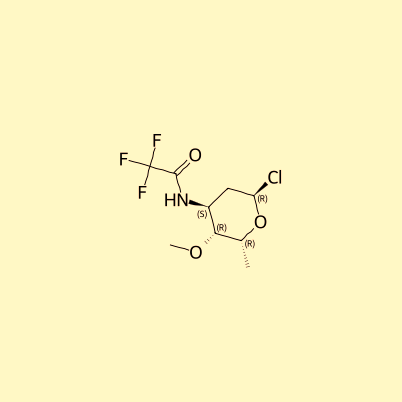 CO[C@@H]1[C@@H](NC(=O)C(F)(F)F)C[C@@H](Cl)O[C@@H]1C